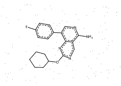 Nc1ncc(-c2ccc(F)cc2)c2nc(OC3CCCCC3)ncc12